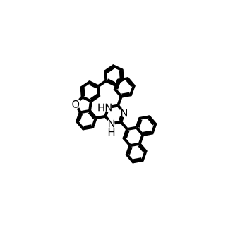 c1ccc(-c2ccc3oc4cccc(C5NC(c6cc7ccccc7c7ccccc67)=NC(c6ccccc6)N5)c4c3c2)cc1